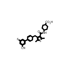 Cc1sc(C)c(C(=O)NC2CCC(C(=O)O)CC2)c1CC1C=CC(c2cc(F)cc(C#N)c2)=CC1